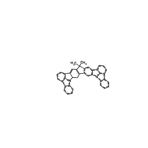 CC1(C)C2=C(CC3C(=C2)c2cccc4c5ccccc5n3c24)c2cc3c(cc21)c1cccc2c4ccccc4n3c21